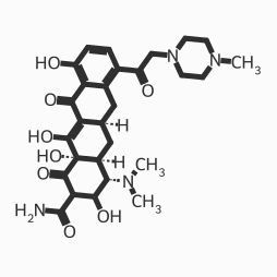 CN1CCN(CC(=O)c2ccc(O)c3c2C[C@H]2C[C@H]4[C@H](N(C)C)C(O)C(C(N)=O)C(=O)[C@@]4(O)C(O)=C2C3=O)CC1